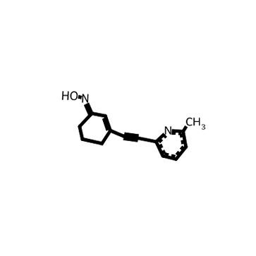 Cc1cccc(C#CC2=C/C(=N/O)CCC2)n1